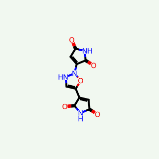 O=C1C=C(C2=CNN(C3=CC(=O)NC3=O)O2)C(=O)N1